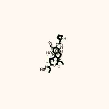 CCC(=NO)[C@H]1OC(=O)[C@H](CC)[C@H]2C=C[C@H]3[C@H]4O[C@]2(/C(C)=C/[C@H]1C)[C@@H]3[C@H](O)[C@@H](COC)[C@H]4OC(=O)c1ccc[nH]1